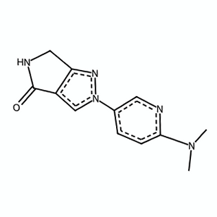 CN(C)c1ccc(-n2cc3c(n2)CNC3=O)cn1